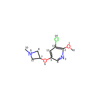 COc1ncc(OC2CN(C)C2)cc1Cl